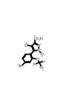 [2H]C([2H])([2H])Oc1cc(Br)ccc1-c1c(Cl)c(C(=O)OCC)nn1CC